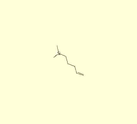 C=CCCC[Si](C)C